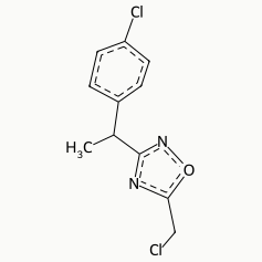 CC(c1ccc(Cl)cc1)c1noc(CCl)n1